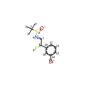 CC(C)(C)[S+]([O-])/N=C/C(F)c1cccc(Br)c1